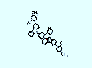 Cc1ccc(-c2ccc3c(c2)c2ccccc2n3-c2ccc(C#N)c(-c3cnccc3-n3c4ccccc4c4cc(-c5ccc(C)cc5C)ccc43)c2)c(C)c1